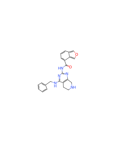 O=C(Nc1nc2c(c(NCc3ccccc3)n1)CCNC2)c1cccc2cocc12